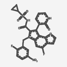 O=C(NS(=O)(=O)C1CC1)c1c(-c2ccc[nH]c2=O)c2c3occc3c(F)cc2n1Cc1cc([N+](=O)[O-])ccc1F